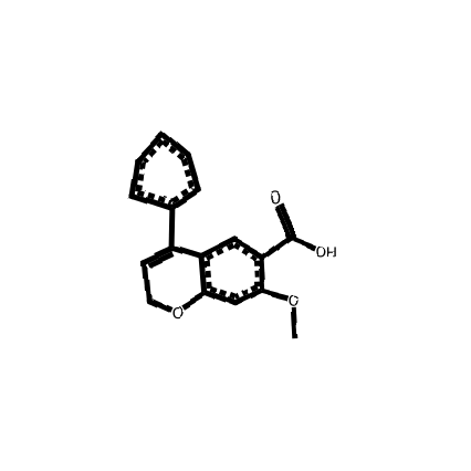 COc1cc2c(cc1C(=O)O)C(c1ccccc1)=CCO2